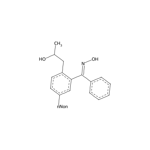 CCCCCCCCCc1ccc(CC(C)O)c(C(=NO)c2ccccc2)c1